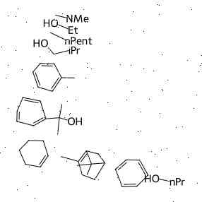 C1=CCCCC1.CC(C)(O)c1ccccc1.CC(C)CO.CC1=C2CC(CC1)C2(C)C.CCCCCC.CCCO.CCO.CNC.Cc1ccccc1.c1ccccc1